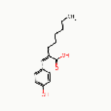 CCCCCCC(=Cc1ccc(O)cc1)C(=O)O